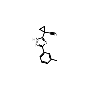 Cc1cccc(-c2n[nH]c(C3(C#N)CC3)n2)c1